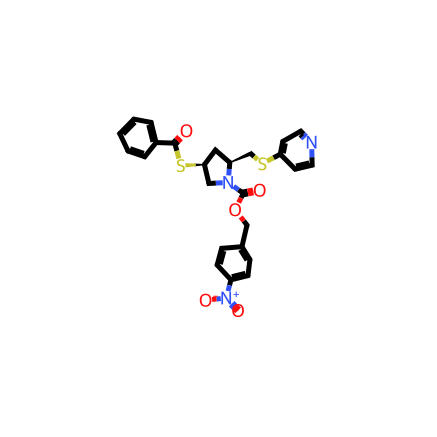 O=C(S[C@H]1C[C@@H](CSc2ccncc2)N(C(=O)OCc2ccc([N+](=O)[O-])cc2)C1)c1ccccc1